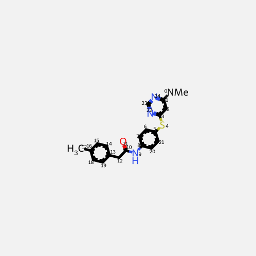 CNc1cc(Sc2ccc(NC(=O)Cc3ccc(C)cc3)cc2)ncn1